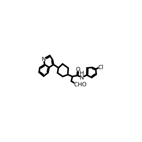 O=CCC(C(=O)Nc1ccc(Cl)cc1)C1CCC(c2ccnc3ccccc23)CC1